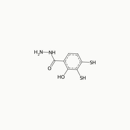 NNC(=O)c1ccc(S)c(S)c1O